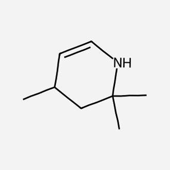 CC1C=CNC(C)(C)C1